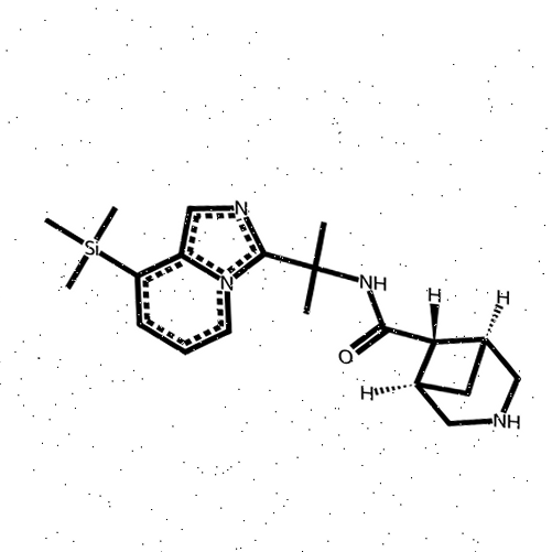 CC(C)(NC(=O)[C@H]1[C@@H]2CNC[C@H]1C2)c1ncc2c([Si](C)(C)C)cccn12